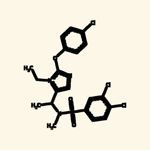 CCn1c(C(C)N(C)S(=O)(=O)c2ccc(Cl)c(Cl)c2)cnc1Oc1ccc(Cl)cc1